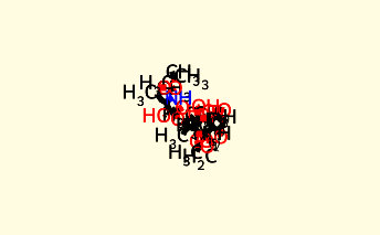 C=C[C@H]1O[C@H]2C[C@H]3OC[C@@]3(O)[C@H]3[C@H](O)[C@]4(C(C)(C)O)C[C@H](OC(=O)[C@H](O)C(CC(C)C)NC(=O)OC(C)(C)C)C(C)=C4[C@H](OC(C)=O)[C@H](O1)[C@]23C